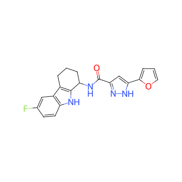 O=C(NC1CCCc2c1[nH]c1ccc(F)cc21)c1cc(-c2ccco2)[nH]n1